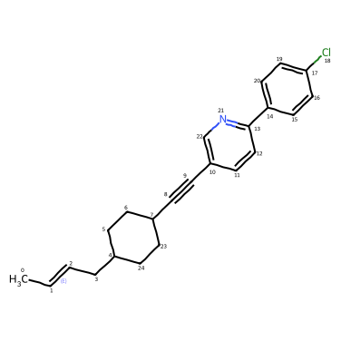 C/C=C/CC1CCC(C#Cc2ccc(-c3ccc(Cl)cc3)nc2)CC1